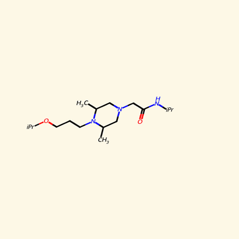 CC(C)NC(=O)CN1CC(C)N(CCCOC(C)C)C(C)C1